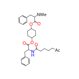 CNC(Cc1ccccc1)C(=O)OC1CCC(OC(=O)C(Cc2ccccc2)NC(=O)CCCCC(C)=O)CC1